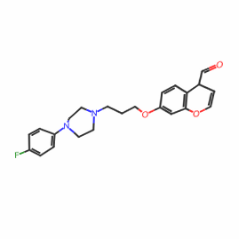 O=CC1C=COc2cc(OCCCN3CCN(c4ccc(F)cc4)CC3)ccc21